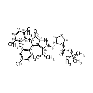 Cc1cc(Cl)ccc1C1c2c(nn(C[C@@H]3CCCN3C(=O)OC(C)(C)C)c2C(C)C)C(=O)N1c1cc(Cl)ccc1C